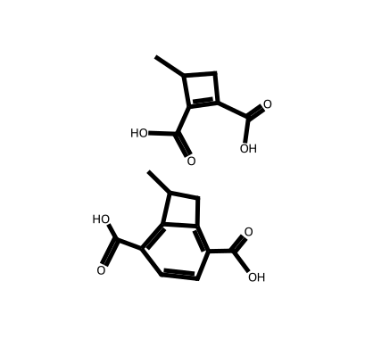 CC1CC(C(=O)O)=C1C(=O)O.CC1Cc2c(C(=O)O)ccc(C(=O)O)c21